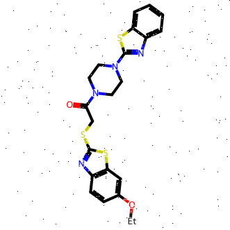 CCOc1ccc2nc(SCC(=O)N3CCN(c4nc5ccccc5s4)CC3)sc2c1